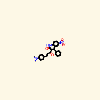 CN(C)c1ccc(C=CC(=O)c2c(-c3ccccc3)c3cc([N+](=O)[O-])ccc3[nH]c2=O)cc1